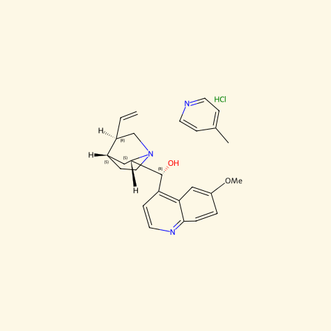 C=C[C@H]1CN2CC[C@H]1C[C@H]2[C@H](O)c1ccnc2ccc(OC)cc12.Cc1ccncc1.Cl